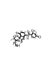 Cc1cc(Cl)cnc1C(=O)Nc1ccc(F)c([C@]2(C(F)F)COCC(N=N)=N2)c1